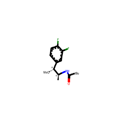 CO[C@H](c1ccc(F)c(F)c1)[C@H](C)NC(=O)C(C)(C)C